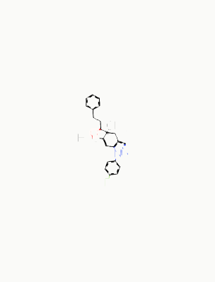 CC1=Cc2c(cnn2-c2ccc(F)cc2)C[C@]1(C)C(=O)CCc1ccccc1